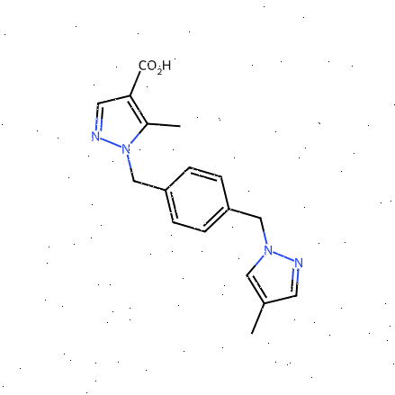 Cc1cnn(Cc2ccc(Cn3ncc(C(=O)O)c3C)cc2)c1